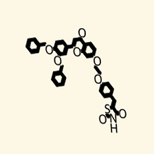 O=C1NC(=O)C(=Cc2ccc(OCCOc3ccc4c(=O)cc(-c5ccc(OCc6ccccc6)c(OCc6ccccc6)c5)oc4c3)cc2)S1